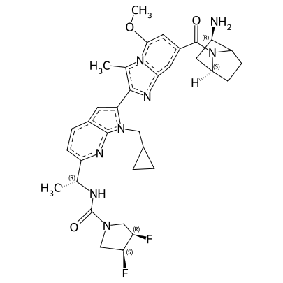 COc1cc(C(=O)N2C3CC[C@H]2C[C@H]3N)cc2nc(-c3cc4ccc([C@@H](C)NC(=O)N5C[C@@H](F)[C@@H](F)C5)nc4n3CC3CC3)c(C)n12